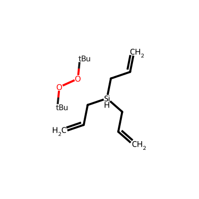 C=CC[SiH](CC=C)CC=C.CC(C)(C)OOC(C)(C)C